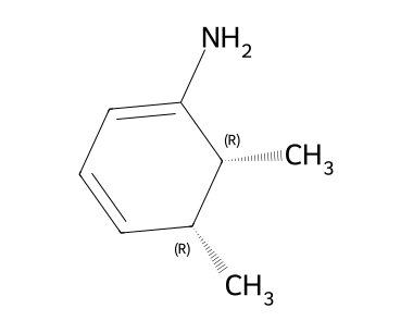 C[C@@H]1C=CC=C(N)[C@@H]1C